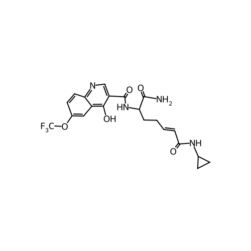 NC(=O)C(CCC=CC(=O)NC1CC1)NC(=O)c1cnc2ccc(OC(F)(F)F)cc2c1O